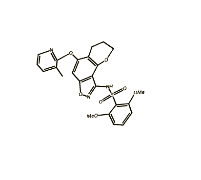 COc1cccc(OC)c1S(=O)(=O)Nc1noc2cc(Oc3ncccc3C)c3c(c12)OCCC3